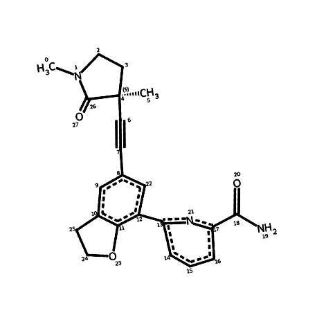 CN1CC[C@@](C)(C#Cc2cc3c(c(-c4cccc(C(N)=O)n4)c2)OCC3)C1=O